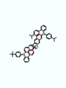 CC(C)c1ccc(-c2ccccc2N(c2ccc(C(C)C)cc2)c2ccc3cc4c(cc3c2)oc2cc3cc(N(c5ccc(C(C)(C)C)cc5)c5ccccc5-c5ccc(C(C)(C)C)cc5)ccc3cc24)cc1